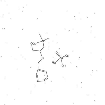 C[N+](C)(C)CC(CC(=O)[O-])OCc1ccccc1.O=[As](O)(O)O